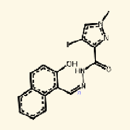 Cn1cc(I)c(C(=O)N/N=C\c2c(O)ccc3ccccc23)n1